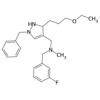 CCOCCCC1NN(Cc2ccccc2)C=C1CN(C)Cc1cccc(F)c1